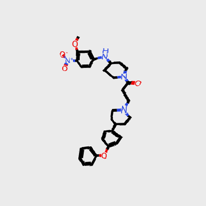 COc1cc(NC2CCN(C(=O)CCN3CCC(c4ccc(Oc5ccccc5)cc4)CC3)CC2)ccc1[N+](=O)[O-]